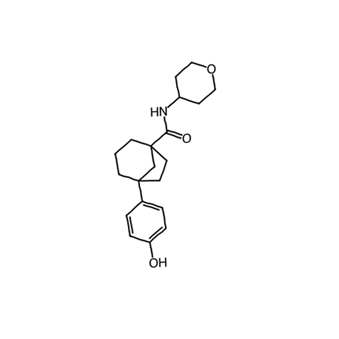 O=C(NC1CCOCC1)C12CCCC(c3ccc(O)cc3)(CC1)C2